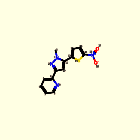 Cn1nc(-c2ccccn2)cc1-c1ccc([N+](=O)[O-])s1